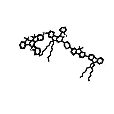 CCCCCCCC1(CCCCCCC)C2=CC(C3=CCC(c4ccc5c(c4)C(C)(C)c4cc(-c6ccc7c(c6)C(CCCCCCC)(CCCCCCC)c6ccccc6-7)ccc4-5)C=C3)C3Oc4ccccc4C3=C2c2ccc(Nc3ccc4c(c3)C(C)(C)c3c5c(c6oc7ccccc7c6c3-4)-c3ccccc3C5(C)C)cc21